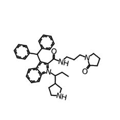 CCC(C1CCNC1)n1c(C(=O)NCCCN2CCCC2=O)c(C(c2ccccc2)c2ccccc2)c2ccccc21